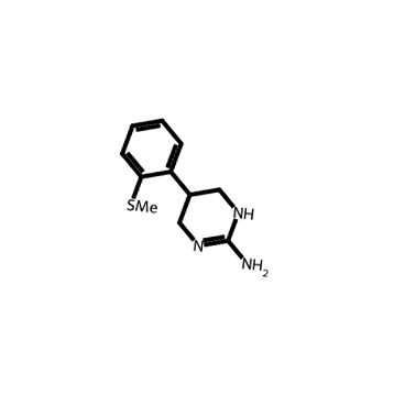 CSc1ccccc1C1CN=C(N)NC1